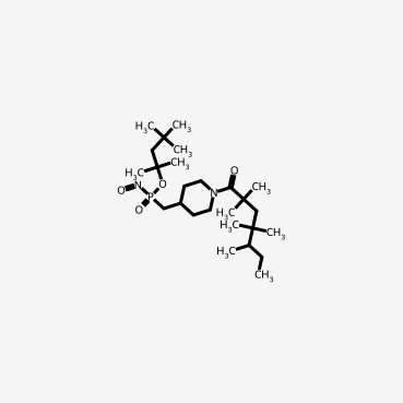 CCC(C)C(C)(C)CC(C)(C)C(=O)N1CCC(CP(=O)(N=O)OC(C)(C)CC(C)(C)C)CC1